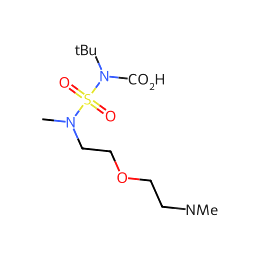 CNCCOCCN(C)S(=O)(=O)N(C(=O)O)C(C)(C)C